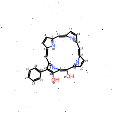 OC1=C2N=C(C=C3C=CC(=N3)C=C3C=CC(=N3)C=C3C=CC1=N3)C(c1ccccc1)=C2O